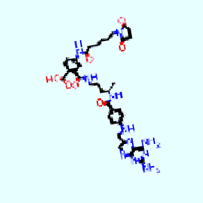 C[C@H](CCCNC(=O)c1cc(NC(=O)CCCCCN2C(=O)C=CC2=O)ccc1C(=O)O)NC(=O)c1ccc(NCc2cnc3nc(N)nc(N)c3n2)cc1